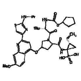 C=C[C@@H]1C[C@]1(NC(=O)C1CC(Oc2cc(-c3csc(NC(C)C)n3)nc3cc(OC)ccc23)CN1C(=O)[C@@H](NC(=O)OC1CCCC1)C(C)(C)C)P(=O)(O)O